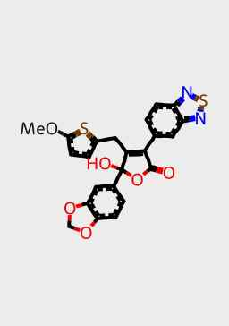 COc1ccc(CC2=C(c3ccc4nsnc4c3)C(=O)OC2(O)c2ccc3c(c2)OCO3)s1